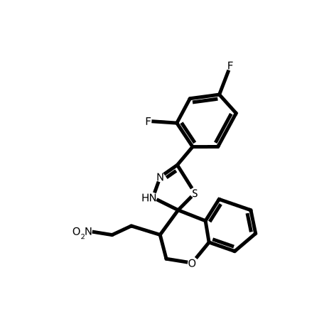 O=[N+]([O-])CCC1COc2ccccc2C12NN=C(c1ccc(F)cc1F)S2